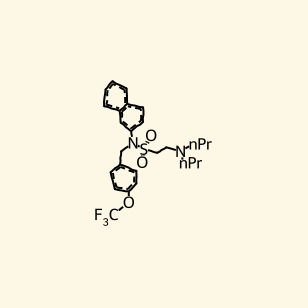 CCCN(CCC)CCS(=O)(=O)N(Cc1ccc(OC(F)(F)F)cc1)c1ccc2ccccc2c1